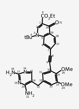 CCOC(=O)c1cn(C(C)(C)C)c2cc(C#Cc3cc(Cc4cnc(N)nc4N)cc(OC)c3OC)ccc2c1=O